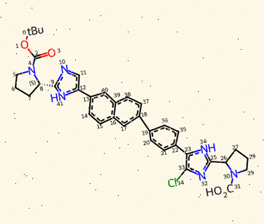 CC(C)(C)OC(=O)N1CCC[C@H]1c1ncc(-c2ccc3cc(-c4ccc(-c5[nH]c(C6CCCN6C(=O)O)nc5Cl)cc4)ccc3c2)[nH]1